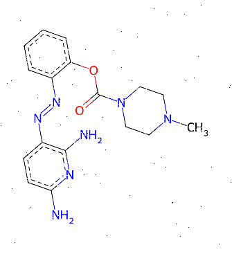 CN1CCN(C(=O)Oc2ccccc2N=Nc2ccc(N)nc2N)CC1